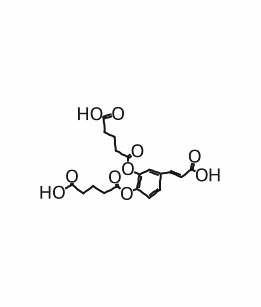 O=C(O)/C=C/c1ccc(OC(=O)CCCC(=O)O)c(OC(=O)CCCC(=O)O)c1